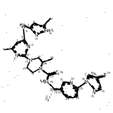 Cc1cc(Nc2cc(C)[nH]n2)nc(N2CCN(C(=S)N[C@@H](C)c3ccc(-n4cc(F)cn4)nc3)C(C)C2)n1